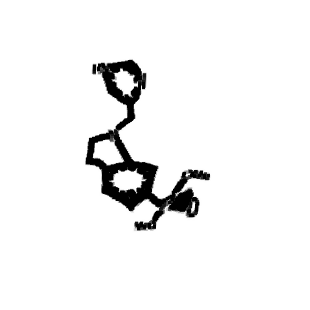 COP(=O)(OC)c1ccc2c(c1)N(Cc1c[nH]cn1)CC2